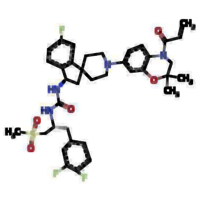 C=CC(=O)N1CC(C)(C)Oc2cc(N3CCC4(CC3)C[C@@H](NC(=O)N[C@H](Cc3ccc(F)c(F)c3)CS(C)(=O)=O)c3ccc(F)cc34)ccc21